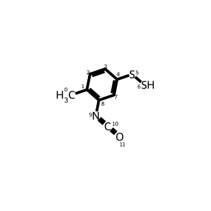 Cc1ccc(SS)cc1N=C=O